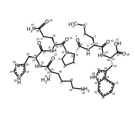 CSCC[C@H](NC(=O)[C@@H]1CCCN1C(=O)[C@H](CCC(N)=O)NC(=O)[C@H](Cc1c[nH]cn1)NC(=O)[C@@H](N)CCCCN)C(=O)N[C@@H](Cc1c[nH]c2ccccc12)C(=O)O